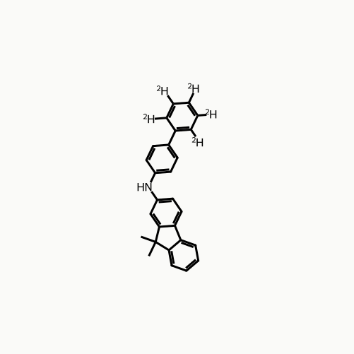 [2H]c1c([2H])c([2H])c(-c2ccc(Nc3ccc4c(c3)C(C)(C)c3ccccc3-4)cc2)c([2H])c1[2H]